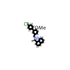 COc1ccc(CN[C@H](C)c2cccc3ccccc23)cc1-c1ccc(Cl)cc1